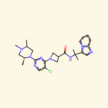 CC1CN(c2ncc(Cl)c(N3CC(C(=O)NC(C)(C)c4cnc5ccccn45)C3)n2)[C@@H](C)CN1C